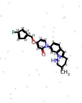 CC1CCc2cc3ccc(-n4ccc(OCc5ccc(F)cc5)cc4=O)cc3n2NC1